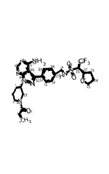 C=CC(=O)N1CCCC(n2nc(-c3ccc(CNS(=O)(=O)C(C4CCCO4)C(F)(F)F)cc3)c3c(N)ncnc32)C1